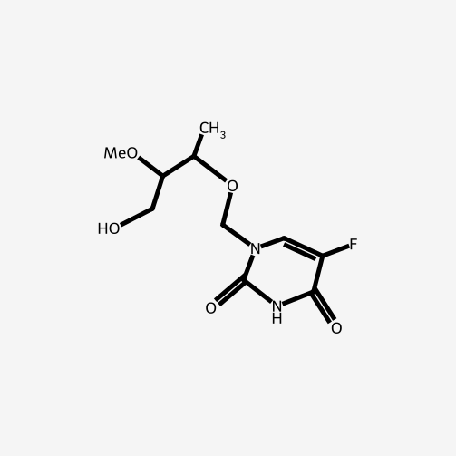 COC(CO)C(C)OCn1cc(F)c(=O)[nH]c1=O